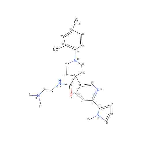 CN(C)CCNC(=O)C1(c2ccc(-c3cccn3C)nc2)CCN(c2ccc(C(F)(F)F)cc2C#N)CC1